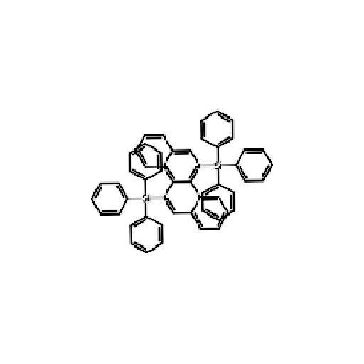 c1ccc([Si](c2ccccc2)(c2ccccc2)c2cc3ccccc3c3c([Si](c4ccccc4)(c4ccccc4)c4ccccc4)cc4ccccc4c23)cc1